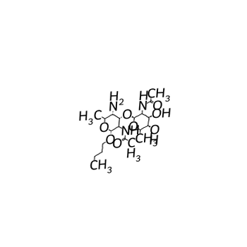 CCCCO[C@@H]1OC(C)[C@H](N)[C@H](O[C@@H]2OC(C)[C@H](O)[C@H](O)C2NC(C)=O)C1NC(C)=O